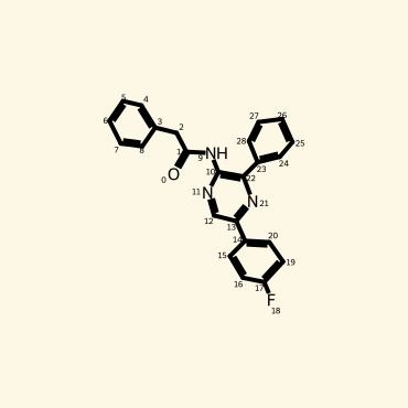 O=C(Cc1ccccc1)Nc1ncc(-c2ccc(F)cc2)nc1-c1ccccc1